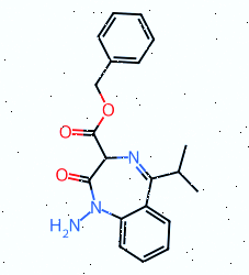 CC(C)C1=NC(C(=O)OCc2ccccc2)C(=O)N(N)c2ccccc21